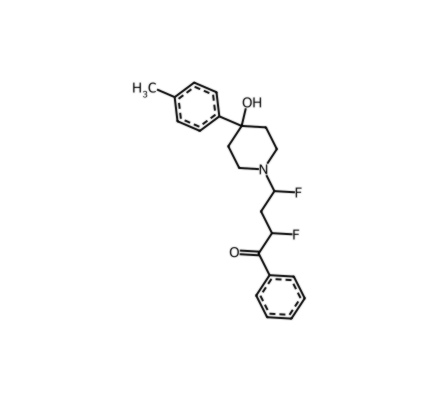 Cc1ccc(C2(O)CCN(C(F)CC(F)C(=O)c3ccccc3)CC2)cc1